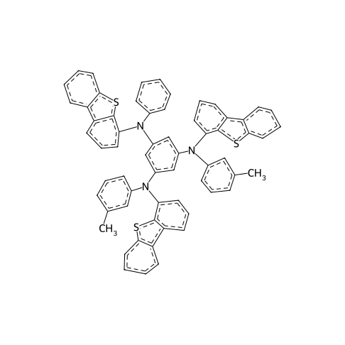 Cc1cccc(N(c2cc(N(c3ccccc3)c3cccc4c3sc3ccccc34)cc(N(c3cccc(C)c3)c3cccc4c3sc3ccccc34)c2)c2cccc3c2sc2ccccc23)c1